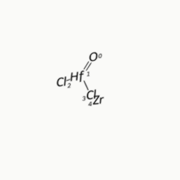 [O]=[Hf]([Cl])[Cl].[Zr]